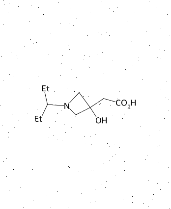 CCC(CC)N1CC(O)(CC(=O)O)C1